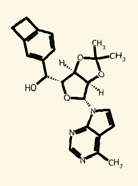 Cc1ncnc2c1ccn2[C@@H]1O[C@H](C(O)c2ccc3c(c2)CC3)[C@H]2OC(C)(C)O[C@H]21